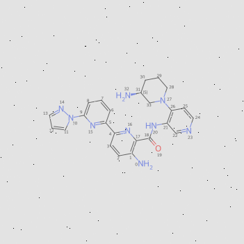 Nc1ccc(-c2cccc(-n3cccn3)n2)nc1C(=O)Nc1cnccc1N1CCC[C@H](N)C1